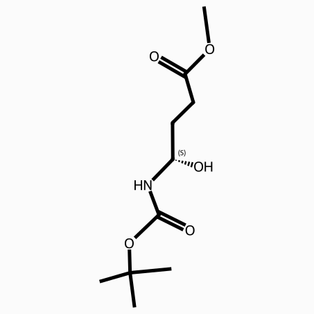 COC(=O)CC[C@H](O)NC(=O)OC(C)(C)C